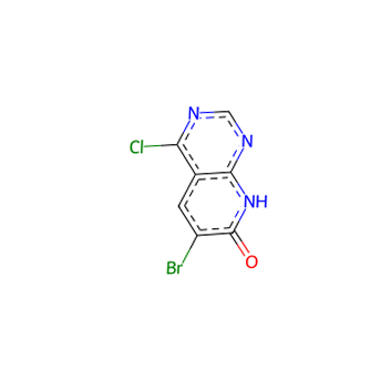 O=c1[nH]c2ncnc(Cl)c2cc1Br